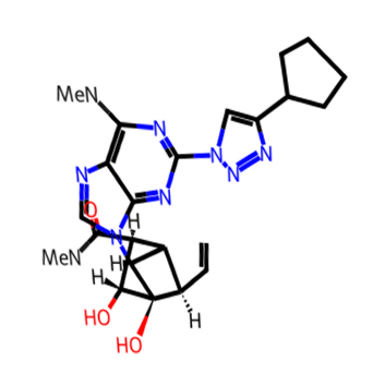 C=C[C@@H]1C2[C@H](C(=O)NC)[C@@H](O)[C@]1(O)[C@@H]2n1cnc2c(NC)nc(-n3cc(C4CCCC4)nn3)nc21